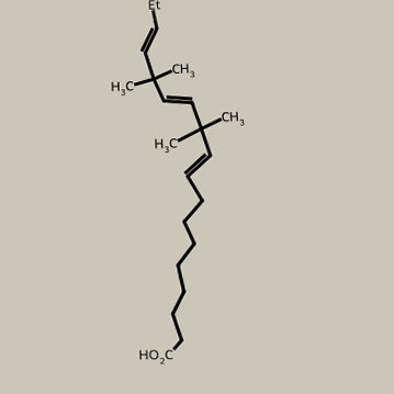 CC/C=C/C(C)(C)/C=C/C(C)(C)/C=C/CCCCCCCC(=O)O